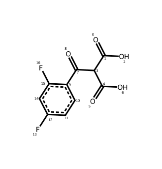 O=C(O)C(C(=O)O)C(=O)c1ccc(F)cc1F